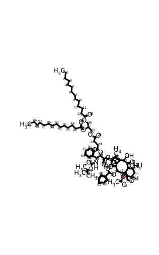 CCCCCCCCCCCCCC(=O)OCC(COC(=O)CCC(=O)O[C@@H](C(=O)O[C@H]1C[C@@]2(O)[C@@H](OC(=O)c3ccccc3)C[C@@H]3[C@]4(OC(C)=O)CO[C@@H]4C[C@H](O)[C@@]3(C)C(=O)[C@H](O)C(=C1C)C2(C)C)[C@@H](NC(=O)OC(C)(C)C)c1ccccc1)OC(=O)CCCCCCCCCCCCC